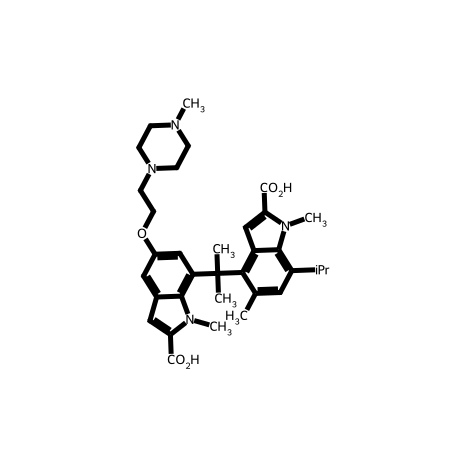 Cc1cc(C(C)C)c2c(cc(C(=O)O)n2C)c1C(C)(C)c1cc(OCCN2CCN(C)CC2)cc2cc(C(=O)O)n(C)c12